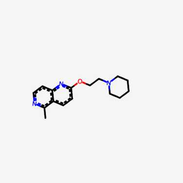 Cc1nccc2nc(OCCN3CCCCC3)ccc12